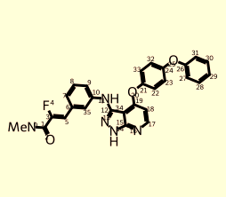 CNC(=O)C(F)=Cc1cccc(Nc2n[nH]c3nccc(Oc4ccc(Oc5ccccc5)cc4)c23)c1